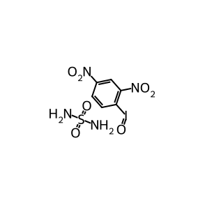 NS(N)(=O)=O.O=Ic1ccc([N+](=O)[O-])cc1[N+](=O)[O-]